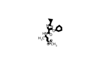 C[C@@H](/C=C/S(C)(=O)=O)NC(=O)c1cnc(C2CC2)nc1OC1CCCCC1